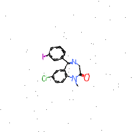 CN1C(=O)CN=C(c2cccc(I)c2)c2cc(Cl)ccc21